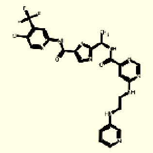 CC(NC(=O)c1cc(NCCNc2cccnc2)ncn1)c1ncc(C(=O)Nc2cc(C(F)(F)F)c(Cl)cn2)s1